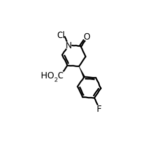 O=C(O)C1=CN(Cl)C(=O)C[C@H]1c1ccc(F)cc1